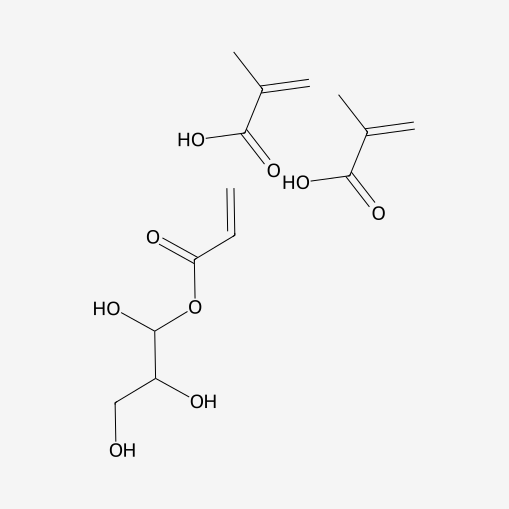 C=C(C)C(=O)O.C=C(C)C(=O)O.C=CC(=O)OC(O)C(O)CO